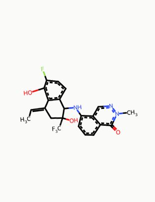 CC=C1CC(O)(C(F)(F)F)C(Nc2cccc3c(=O)n(C)ncc23)c2ccc(F)c(O)c21